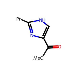 COC(=O)c1c[nH]c(C(C)C)n1